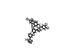 CCC(C)OP(=O)(O)C(F)(F)c1ccc(CN(c2ccc(Cl)c(Cl)c2)c2nnc(-c3cccc(Oc4cccc(-c5nnn[nH]5)c4)c3)s2)cc1Br